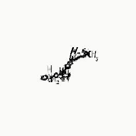 CN(C)CC=CC(=O)N1CC2CC(c3nc(-c4ccc(C(=O)Nc5ccccc5)cc4)c4c(N)nccn34)CC2C1